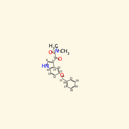 CN(C)C(=O)C(=O)c1c[nH]c2ccc(OCc3ccccc3)cc12